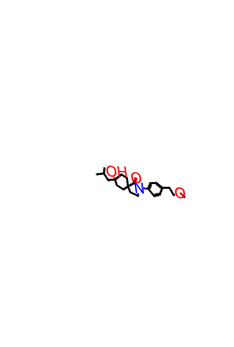 COCCc1ccc(N2CCC3(CCC(O)(CC(C)C)CC3)C2=O)cc1